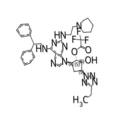 CCc1nnn([C@H]2C[C@@H](n3cnc4c(NCC(c5ccccc5)c5ccccc5)nc(NCCN5CCCCC5)nc43)[C@H](OC(=O)C(F)(F)F)[C@@H]2O)n1